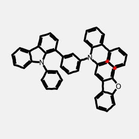 c1ccc(-c2ccccc2N(c2cccc(-c3cccc4c5ccccc5n(-c5ccccc5)c34)c2)c2ccc3oc4ccccc4c3c2)cc1